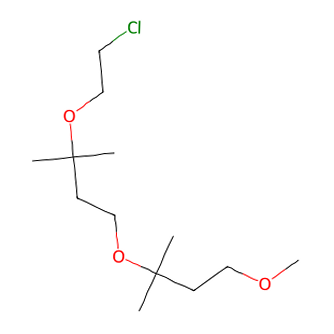 COCCC(C)(C)OCCC(C)(C)OCCCl